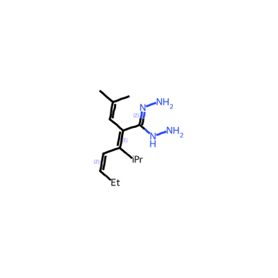 CC\C=C/C(=C(C=C(C)C)/C(=N/N)NN)C(C)C